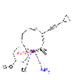 C=C1/C=C(C#CC2CC2)\C=C/CCC2(CCC(OC)CC2)C12N=C(N)N(CC)C2=O